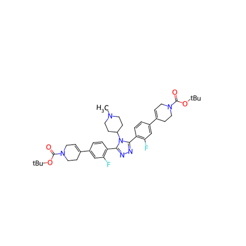 CN1CCC(n2c(-c3ccc(C4=CCN(C(=O)OC(C)(C)C)CC4)cc3F)nnc2-c2ccc(C3=CCN(C(=O)OC(C)(C)C)CC3)cc2F)CC1